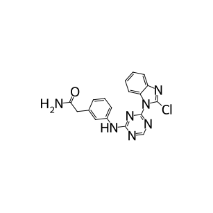 NC(=O)Cc1cccc(Nc2ncnc(-n3c(Cl)nc4ccccc43)n2)c1